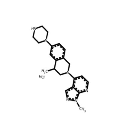 CC1CN(c2ccnc3c2cnn3C)Cc2ccc(N3CCNCC3)cc21.Cl